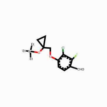 CC[Si](CC)(CC)OC1(COc2ccc(C=O)c(F)c2Cl)CC1